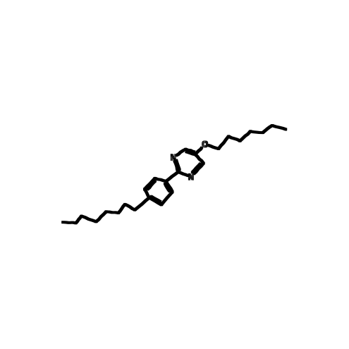 CCCCCCCCc1ccc(-c2ncc(OCCCCCCC)cn2)cc1